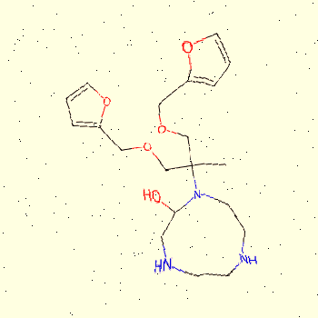 CC(COCc1ccco1)(COCc1ccco1)N1CCNCCNCC1O